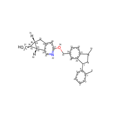 Cc1ccccc1C1CC(C)c2ccc(COc3cc4c(cn3)[C@H]3[C@@H](C4)[C@@H]3C(=O)O)cc21